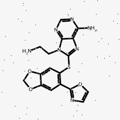 NCCn1c(Sc2cc3c(cc2-c2ncco2)OCO3)nc2c(N)ncnc21